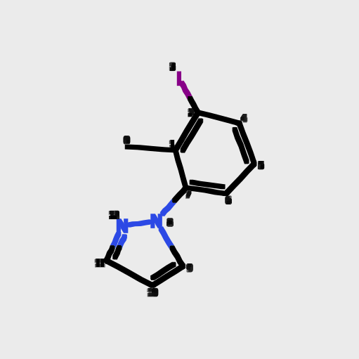 Cc1c(I)cccc1-n1cccn1